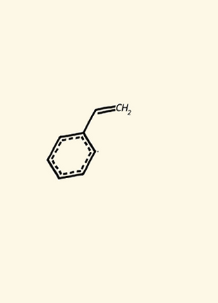 C=Cc1[c]cccc1